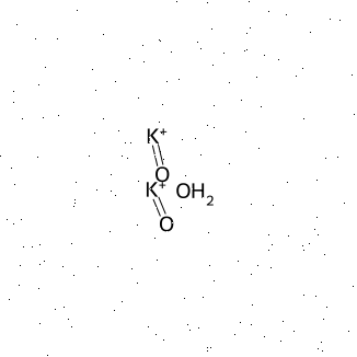 O.[O]=[K+].[O]=[K+]